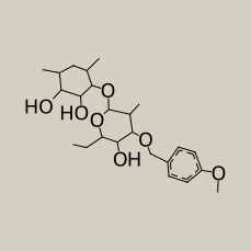 CCC1OC(OC2C(C)CC(C)C(O)C2O)C(C)C(OCc2ccc(OC)cc2)C1O